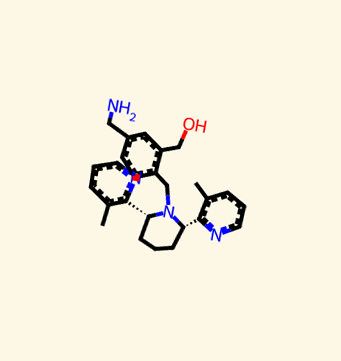 Cc1cccnc1[C@H]1CCC[C@@H](c2ncccc2C)N1Cc1ccc(CN)cc1CO